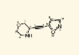 C(#CC1COCCN1)c1ccno1